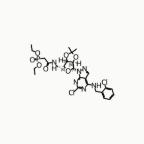 CCOP(=O)(CC(=O)NC[C@H]1O[C@@H](n2ncc3c(NCc4ccccc4Cl)nc(Cl)nc32)[C@@H]2OC(C)(C)O[C@@H]21)OCC